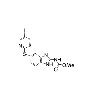 COC(=O)Nc1nc2cc(Sc3ccc(I)cn3)ccc2[nH]1